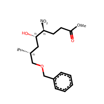 COC(=O)CC[C@@H]([C@@H](O)C[C@H](COCc1ccccc1)C(C)C)[N+](=O)[O-]